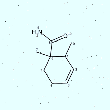 CC1C=CCCC1(C)C(N)=O